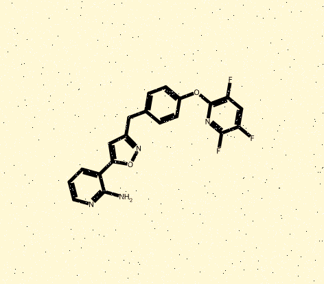 Nc1ncccc1-c1cc(Cc2ccc(Oc3nc(F)c(F)cc3F)cc2)no1